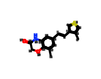 Cc1cscc1C=Cc1cc(C)c2c(c1)NC(=O)CO2